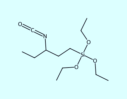 CCO[Si](CCC(CC)N=C=O)(OCC)OCC